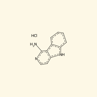 Cl.Nc1nccc2[nH]c3ccccc3c12